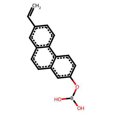 C=Cc1ccc2c(ccc3cc(OB(O)O)ccc32)c1